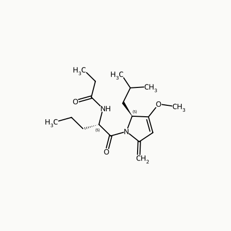 C=C1C=C(OC)[C@H](CC(C)C)N1C(=O)[C@H](CCC)NC(=O)CC